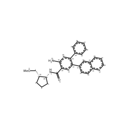 COC[C@H]1CCC[C@H]1NC(=O)c1nc(-c2ccc3ncccc3c2)c(-c2ccccc2)nc1N